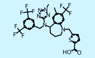 Cc1cc2c(cc1C(F)(F)F)N(Cc1ccc(C(=O)O)s1)CCCC2N(Cc1cc(C(F)(F)F)cc(C(F)(F)F)c1)c1nnn(C)n1